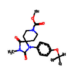 [2H]C([2H])([2H])Oc1ccc(N2C(=O)N(C)C(=O)C23CCN(C(=O)OC(C)(C)C)CC3)cc1